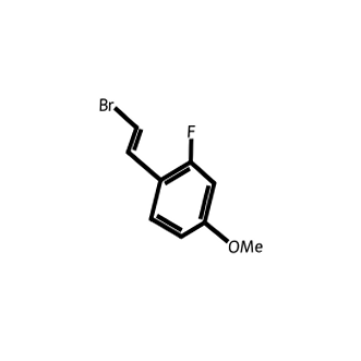 COc1ccc(C=CBr)c(F)c1